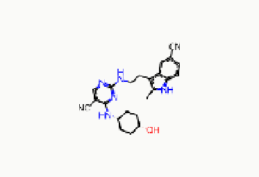 Cc1[nH]c2ccc(C#N)cc2c1CCNc1ncc(C#N)c(N[C@H]2CC[C@@H](O)CC2)n1